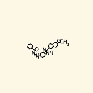 COc1ccc2cc(-c3nc4cc(N=[N+]=NC(=O)c5ccccc5)ccc4[nH]3)ccc2c1